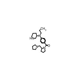 CCCN(c1ccc(C(=O)N2CCCC2CN2CCCC2)cc1)C1CCCNC1